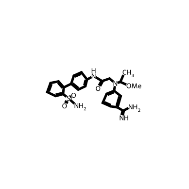 COC(C)N(CC(=O)Nc1ccc(-c2ccccc2S(N)(=O)=O)cc1)c1cccc(C(=N)N)c1